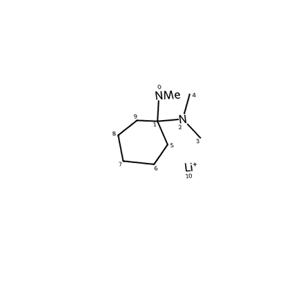 C[N-]C1(N(C)C)CCCCC1.[Li+]